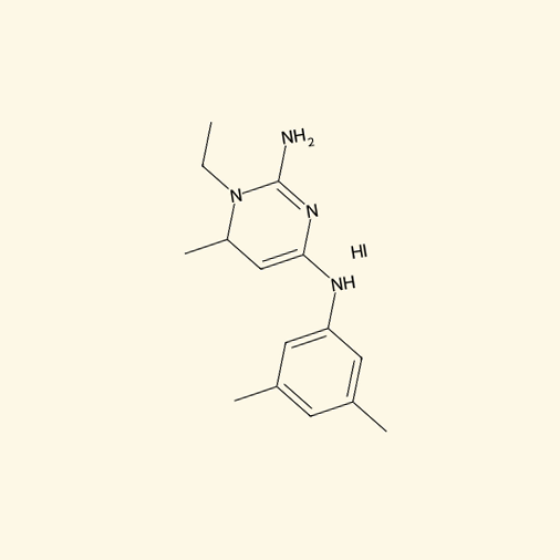 CCN1C(N)=NC(Nc2cc(C)cc(C)c2)=CC1C.I